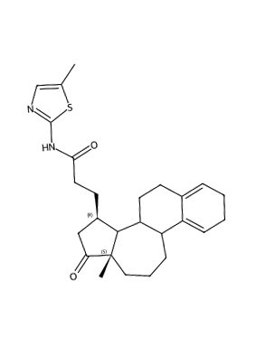 Cc1cnc(NC(=O)CC[C@@H]2CC(=O)[C@@]3(C)CCCC4C5=CCCC=C5CCC4C23)s1